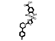 COc1cc(C(=O)O)ccc1NS(=O)(=O)c1csc(N2CCCC(c3ccc(C)cc3)C2)n1